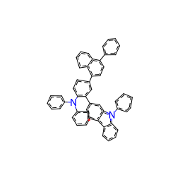 c1ccc(-c2ccc(-c3ccc(N(c4ccccc4)c4ccccc4)c(-c4ccc5c6ccccc6n(-c6ccccc6)c5c4)c3)c3ccccc23)cc1